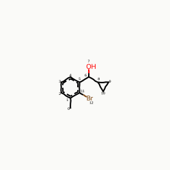 Cc1cccc(C(O)C2CC2)c1Br